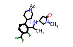 CC(=O)N1CCC(c2ccc(C(F)F)c(F)c2C(C)N[C@@H]2CC(=O)N(C)C2)CC1